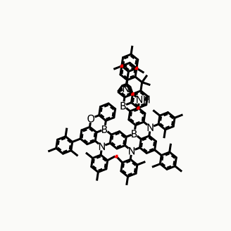 Cc1cc(C)c(-c2cc3c4c(c2)N2c5ccccc5C(C)(C)c5cccc(c52)B4c2cc4c(cc2N3)N(c2c(C)cc(C)cc2C)c2cc(-c3c(C)cc(C)cc3C)cc3c2B4c2cc4c(cc2N3c2c(C)cc(C)cc2C)N(c2c(C)cc(C)cc2C)c2cc(-c3c(C)cc(C)cc3C)cc3c2B4c2ccccc2O3)c(C)c1